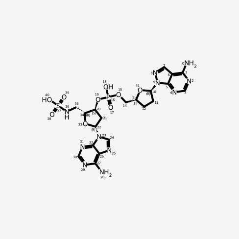 Nc1ncnc2c1cnn2[C@H]1CC[C@@H](COP(=O)(O)O[C@H]2C[C@H](n3cnc4c(N)ncnc43)O[C@@H]2CNS(=O)(=O)O)O1